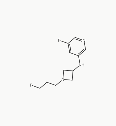 FCCCN1CC(Nc2cncc(F)c2)C1